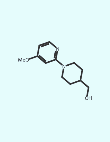 COc1ccnc(N2CCC(CO)CC2)c1